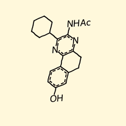 CC(=O)Nc1nc2c(nc1C1CCCCC1)-c1ccc(O)cc1CC2